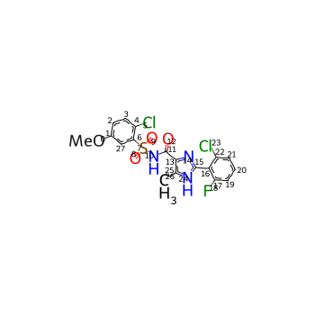 COc1ccc(Cl)c(S(=O)(=O)NC(=O)c2nc(-c3c(F)cccc3Cl)[nH]c2C)c1